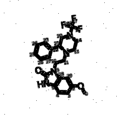 COc1ccc2[nH]c(=O)n(CCN3CCN(C(F)(F)F)CC3c3ccccc3)c2c1